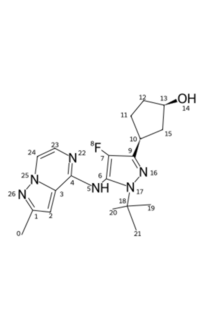 Cc1cc2c(Nc3c(F)c([C@H]4CC[C@@H](O)C4)nn3C(C)(C)C)nccn2n1